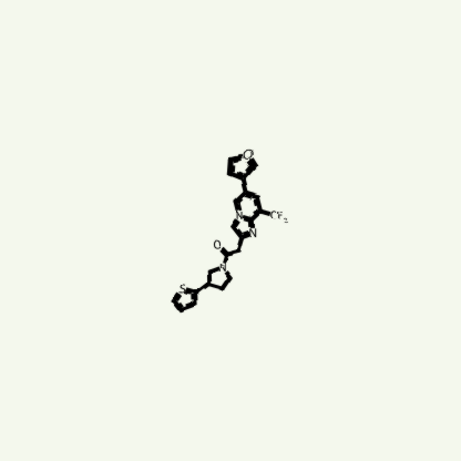 O=C(Cc1cn2cc(-c3ccoc3)cc(C(F)(F)F)c2n1)N1CCC(c2cccs2)C1